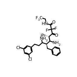 CC(C)[C@H](C(=O)C(F)(F)C(=O)NCC(F)(F)F)C(N)[C@@H](Cc1ccccc1)C(N)CCc1cc(Cl)cc(Cl)c1